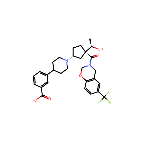 C[C@@H](O)[C@]1(C(=O)N2COc3ccc(C(F)(F)F)cc3C2)CC[C@@H](N2CCC(c3cccc(C(=O)O)c3)CC2)C1